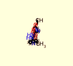 C#CCOC1COc2c(S(=O)(=O)NC(=O)Nc3c4c(nc5c3CCC5C)CCC4)cnn2C1